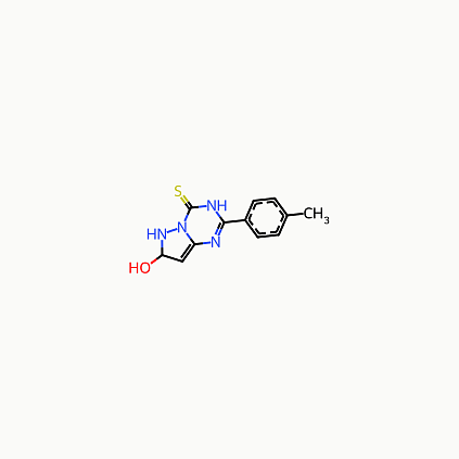 Cc1ccc(C2=NC3=CC(O)NN3C(=S)N2)cc1